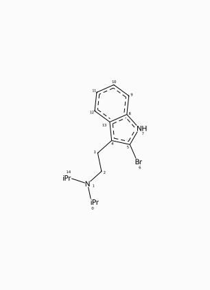 CC(C)N(CCc1c(Br)[nH]c2ccccc12)C(C)C